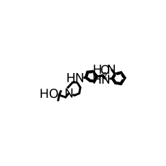 CC(C)(O)CN1CCCC(Nc2ccc(C(=O)Nc3ccccc3N)cc2)CC1